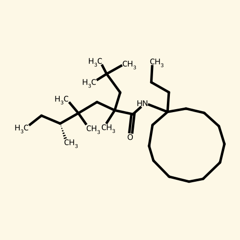 CCCC1(NC(=O)C(C)(CC(C)(C)C)CC(C)(C)[C@H](C)CC)CCCCCCCCCCC1